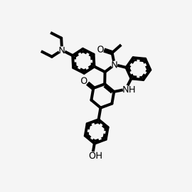 CCN(CC)c1ccc(C2C3=C(CC(c4ccc(O)cc4)CC3=O)Nc3ccccc3N2C(C)=O)cc1